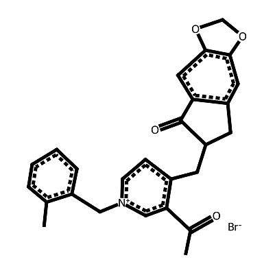 CC(=O)c1c[n+](Cc2ccccc2C)ccc1CC1Cc2cc3c(cc2C1=O)OCO3.[Br-]